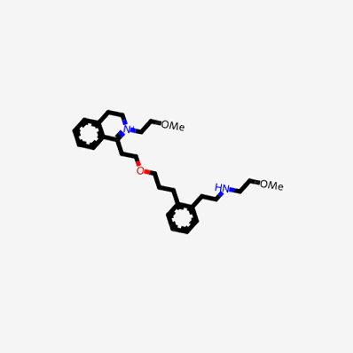 COCCNCCc1ccccc1CCCOCCC1=[N+](CCOC)CCc2ccccc21